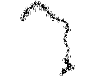 CC(=O)N1c2ccc(-c3ccc(C(=O)NCCOCCOCCOCCOCCOCCC(=O)NCCCN(C)CCCNC(=O)CCNC(=O)c4nc(NC(=O)CCNC(=O)c5cc(NC(=O)c6nc(NC(=O)CCNC(=O)c7cc(NC(=O)c8nccn8C)cn7C)cn6C)cn5C)cn4C)cc3)cc2[C@H](Nc2ccc(Cl)cc2)C[C@@H]1C